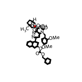 COc1ccc(Cn2c(=O)nc(N3C[C@H]4CC[C@@](C)(C3)N4C(=O)OC(C)(C)C)c3nnc(-c4cc(OC(=O)OCc5ccccc5)cc5ccccc45)cc32)c(OC)c1